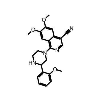 COc1cc2c(C#N)cnc(N3CCNC(c4ccccc4OC)C3)c2cc1OC